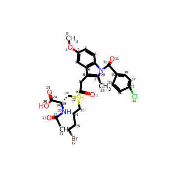 COc1ccc2c(c1)c(CC(=O)[SH](CCCCBr)C[C@H](NC(C)=O)C(=O)O)c(C)n2C(=O)c1ccc(Cl)cc1